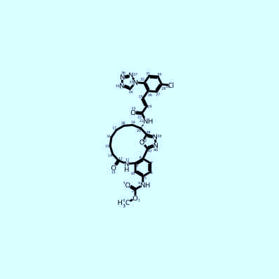 COC(=O)Nc1ccc2c(c1)NC(=O)CCCCCC[C@H](NC(=O)/C=C/c1cc(Cl)ccc1-n1cnnn1)c1nnc-2o1